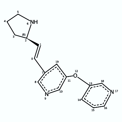 C(=C[C@H]1CCCN1)c1cncc(Oc2cccnc2)c1